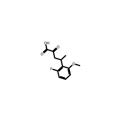 COc1cccc(F)c1C(C)CC(=O)C(=O)O